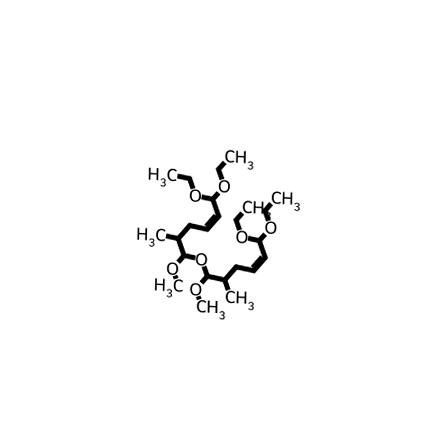 CCOC(/C=C\CC(C)C(OC)OC(OC)C(C)C/C=C\C(OCC)OCC)OCC